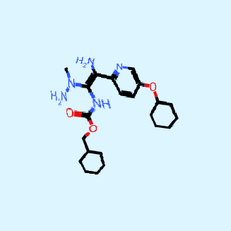 CN(N)/C(NC(=O)OCC1CCCCC1)=C(\N)c1ccc(OC2CCCCC2)cn1